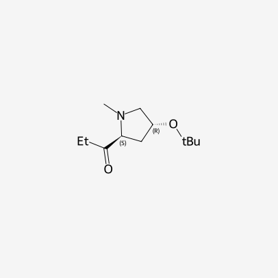 CCC(=O)[C@@H]1C[C@@H](OC(C)(C)C)CN1C